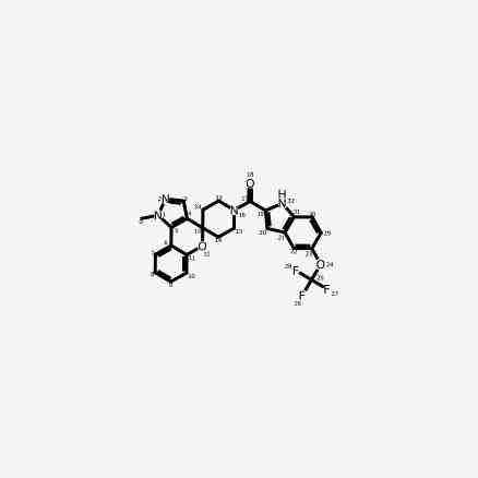 Cn1ncc2c1-c1ccccc1OC21CCN(C(=O)c2cc3cc(OC(F)(F)F)ccc3[nH]2)CC1